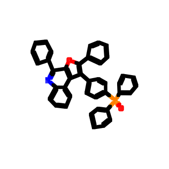 O=P(c1ccccc1)(c1ccccc1)c1ccc(-c2c(-c3ccccc3)oc3c(-c4ccccc4)nc4ccccc4c23)cc1